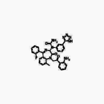 Cc1cccc2c1N(CC(=O)c1ccccc1N)C(=O)C(N(C(N)=O)c1cccc(-c3nnn[nH]3)c1)N=C2c1ccccc1F